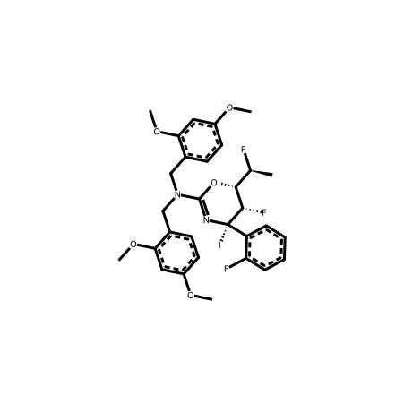 COc1ccc(CN(Cc2ccc(OC)cc2OC)C2=N[C@](I)(c3ccccc3F)[C@@H](F)[C@@H]([C@H](C)F)O2)c(OC)c1